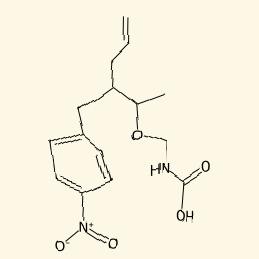 C=CCC(Cc1ccc([N+](=O)[O-])cc1)C(C)OCNC(=O)O